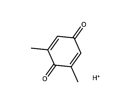 CC1=CC(=O)C=C(C)C1=O.[H+]